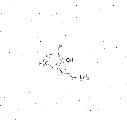 CCCC[C@@H](CC)[C@@H](O)C(F)F